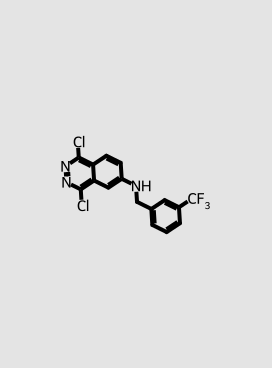 FC(F)(F)c1cccc(CNc2ccc3c(Cl)nnc(Cl)c3c2)c1